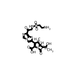 C[C@@H](O)[C@H]1C(=O)N2C(C(=O)O)=C(c3cn4cnc(C(=O)CNS(=O)(=O)CCN)c4s3)[C@H](C)[C@H]12